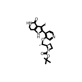 C[C@H](Oc1cnccc1-c1[nH]c2c(c1I)C(=O)NCC2)[C@H]1CCN1C(=O)OC(C)(C)C